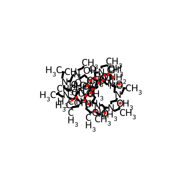 CC(C)CN(CC(=O)N(CC(=O)N(CC(=O)N(CC(=O)N(CC(=O)N(CC(=O)N(CC(N)=O)CC(C)O)CC(C)O)CC(C)O)CC(C)O)CC(C)C)CC(C)C)C(=O)CN(CC(C)C)C(=O)CN(CC(C)C)C(=O)CN(CC(C)C)C(=O)CN(CC(C)O)C(=O)CN(CC(C)O)C(=O)CN(CC(C)O)C(=O)CNCC(C)O